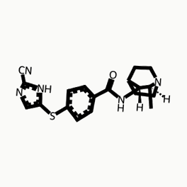 C[C@H]1[C@H](NC(=O)c2ccc(Sc3cnc(C#N)[nH]3)cc2)C2CCN1CC2